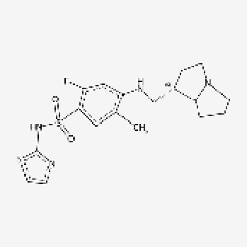 Cc1cc(S(=O)(=O)Nc2nccs2)c(F)cc1NC[C@@H]1CCN2CCCC12